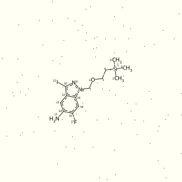 C[Si](C)(C)CCOCn1nc(I)c2cc(N)c(F)cc21